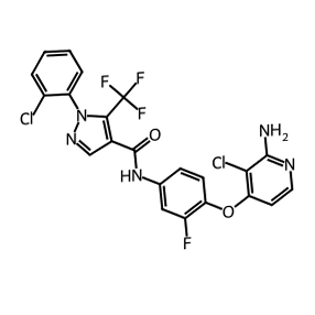 Nc1nccc(Oc2ccc(NC(=O)c3cnn(-c4ccccc4Cl)c3C(F)(F)F)cc2F)c1Cl